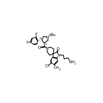 Cc1cc2c(cc1Cl)C1(CCN(C(=O)[C@@H]3CN(C(C)(C)C)C[C@H]3c3ccc(F)cc3F)CC1)C(=O)N2CCCN